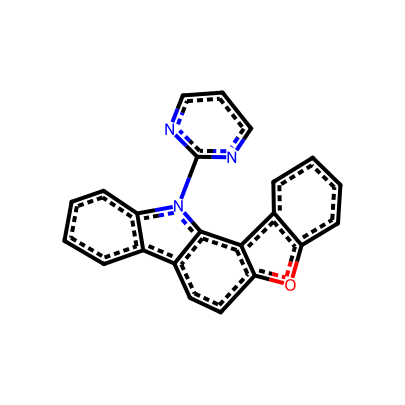 c1cnc(-n2c3ccccc3c3ccc4oc5ccccc5c4c32)nc1